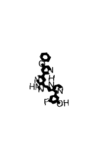 Oc1cc(F)cc(-c2nccc3[nH]c(-c4n[nH]c5ncc(-c6cncc(OC7CCCCC7)c6)cc45)cc23)c1